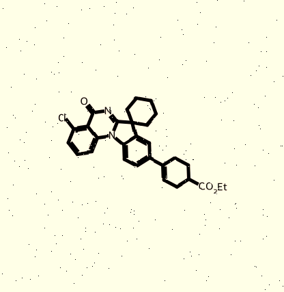 CCOC(=O)C1CC=C(c2ccc3c(c2)C2(CCCCC2)c2nc(=O)c4c(Cl)cccc4n2-3)CC1